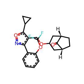 O=C1[C@@H]2CC[C@H]1CC(OCc1c(-c3ccccc3OC(F)F)noc1C1CC1)C2